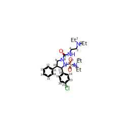 CCN(CC)CCNC(=O)N1CC(c2ccccc2)C(c2ccc(Cl)cc2)N1S(=O)(=O)N(CC)CC